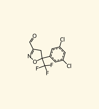 O=CC1=NOC(c2cc(Cl)cc(Cl)c2)(C(F)(F)F)C1